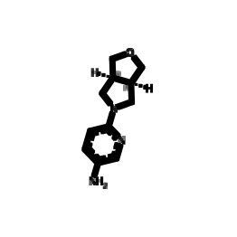 Nc1ccc(N2C[C@H]3COC[C@H]3C2)nc1